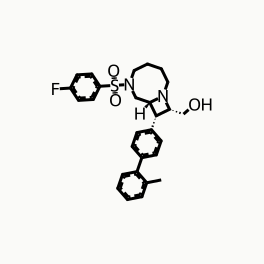 Cc1ccccc1-c1ccc([C@H]2[C@@H](CO)N3CCCCN(S(=O)(=O)c4ccc(F)cc4)C[C@@H]23)cc1